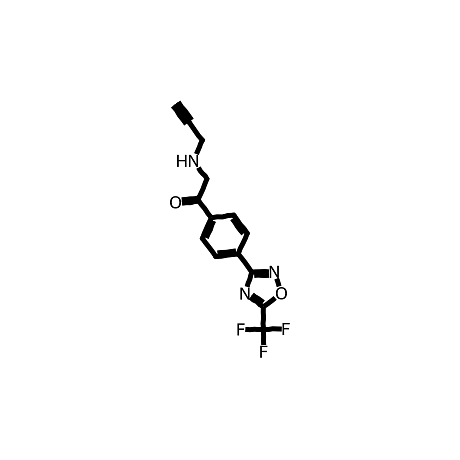 C#CCNCC(=O)c1ccc(-c2noc(C(F)(F)F)n2)cc1